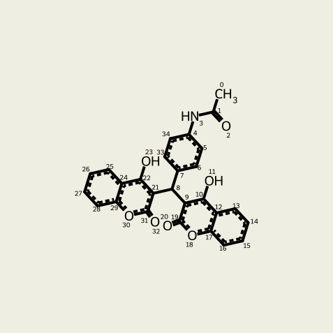 CC(=O)Nc1ccc(C(c2c(O)c3ccccc3oc2=O)c2c(O)c3ccccc3oc2=O)cc1